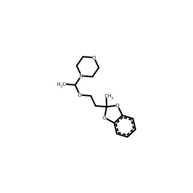 CC(OCCC1(C)Oc2ccccc2O1)N1CCOCC1